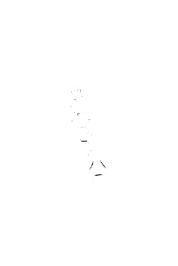 O=C(NC1CCN(CC2CNC2)CC1)OCc1ccccc1